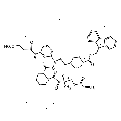 C=CC(=O)OCC(C)(C)C(=O)C(=O)N1CCCCC1C(=O)O[C@H](CCN1CCN(C(=O)OCC2c3ccccc3-c3ccccc32)CC1)c1cccc(NC(=O)CCC(=O)O)c1